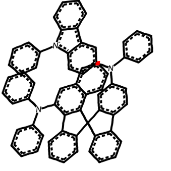 c1ccc(N(c2ccc3c(c2)C2(c4ccccc4-3)c3ccccc3-c3c(N(c4ccccc4)c4ccccc4)cc4ccccc4c32)c2ccc3c(c2)c2ccccc2n3-c2ccccc2)cc1